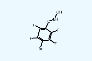 OBOc1c(F)c(F)c(Br)c(F)c1F